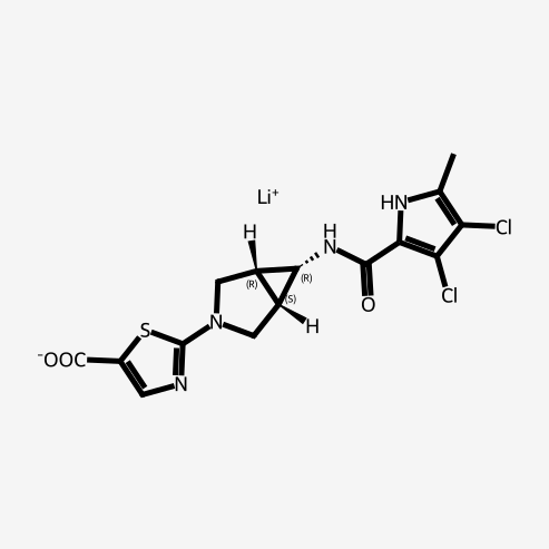 Cc1[nH]c(C(=O)N[C@@H]2[C@@H]3CN(c4ncc(C(=O)[O-])s4)C[C@@H]32)c(Cl)c1Cl.[Li+]